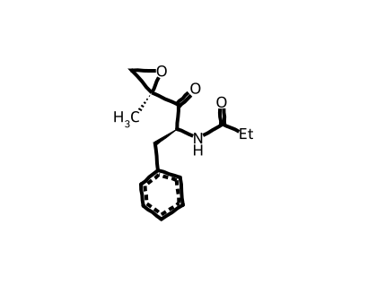 CCC(=O)N[C@@H](Cc1ccccc1)C(=O)[C@@]1(C)CO1